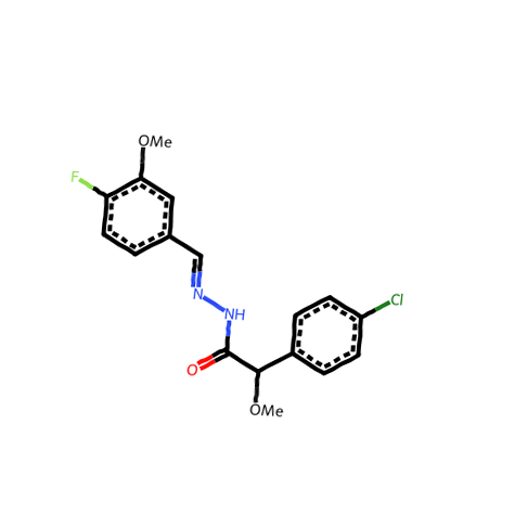 COc1cc(/C=N/NC(=O)C(OC)c2ccc(Cl)cc2)ccc1F